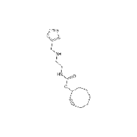 O=C(NCCNCc1cccs1)OC1C#CCCCCC1